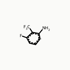 Nc1[c]ccc(F)c1C(F)(F)F